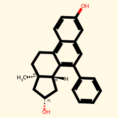 C[C@]12CCc3c(c(-c4ccccc4)cc4cc(O)ccc34)[C@@H]1C[C@H](O)C2